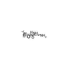 CC(C)c1coc(-c2cccc(NC(=O)[C@@H](N)CCCCN)n2)n1